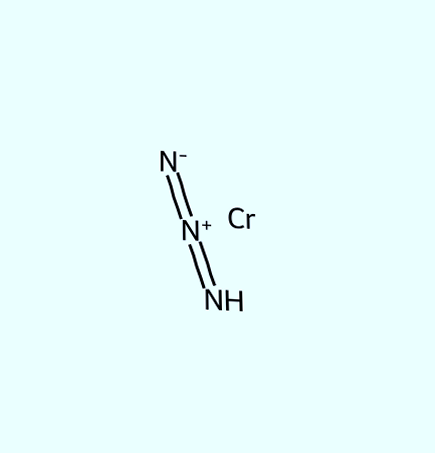 [Cr].[N-]=[N+]=N